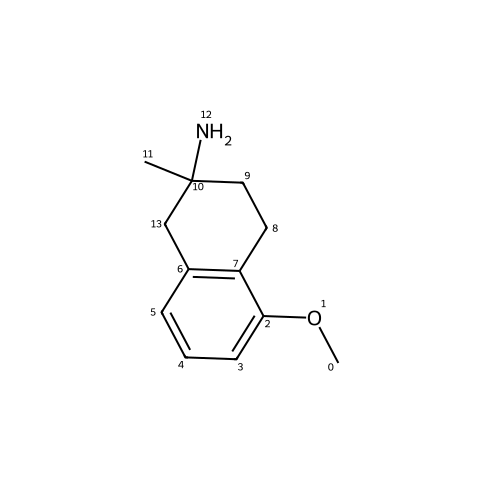 COc1cccc2c1CCC(C)(N)C2